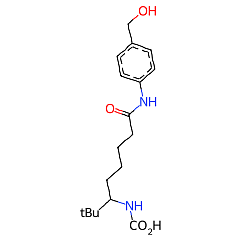 CC(C)(C)C(CCCCC(=O)Nc1ccc(CO)cc1)NC(=O)O